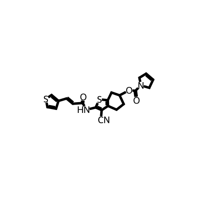 N#Cc1c(NC(=O)C=Cc2ccsc2)sc2c1CCC(OC(=O)N1CC=CC1)C2